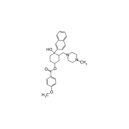 COc1ccc(C(=O)OC2CCC(O)(c3ccc4ccccc4c3)C(CN3CCN(C)CC3)C2)cc1